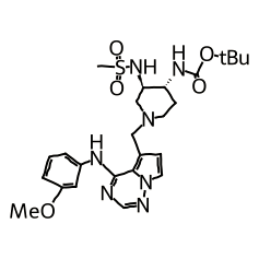 COc1cccc(Nc2ncnn3ccc(CN4CC[C@@H](NC(=O)OC(C)(C)C)[C@H](NS(C)(=O)=O)C4)c23)c1